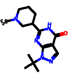 BN1CCCC(c2nc3c(cnn3C(C)(C)C)c(=O)[nH]2)C1